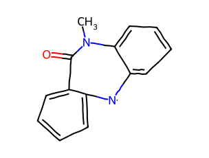 CN1C(=O)c2ccccc2[N]c2ccccc21